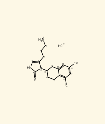 Cl.NCCCc1c[nH]c(=S)n1C1CCc2c(F)cc(F)cc2C1